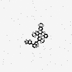 [c]1ccc2c(c1)OC(c1cnc3c(c1-c1cc(-c4cc5c(-c6cnc7snnc7c6)ccnc5[nH]4)c4c(n1)OCCO4)OCCO3)C(c1cc3c(cn1)OCCO3)O2